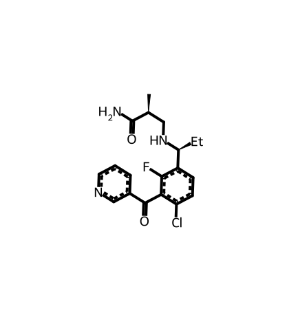 CC[C@H](NC[C@H](C)C(N)=O)c1ccc(Cl)c(C(=O)c2cccnc2)c1F